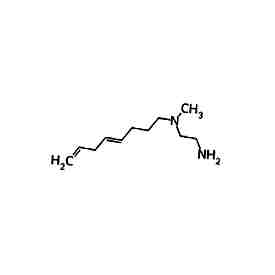 C=CCC=CCCCN(C)CCN